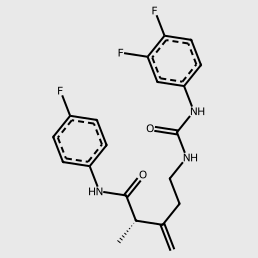 C=C(CCNC(=O)Nc1ccc(F)c(F)c1)[C@H](C)C(=O)Nc1ccc(F)cc1